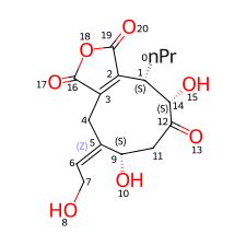 CCC[C@H]1C2=C(C/C(=C/CO)[C@@H](O)CC(=O)[C@H]1O)C(=O)OC2=O